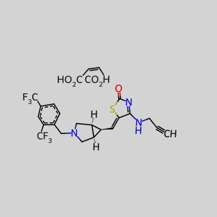 C#CCNC1=NC(=O)S/C1=C\[C@H]1[C@H]2CN(Cc3ccc(C(F)(F)F)cc3C(F)(F)F)C[C@@H]12.O=C(O)/C=C\C(=O)O